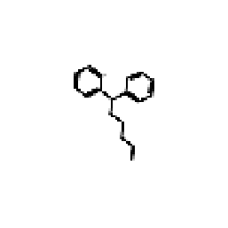 CCCCCC(c1[c]cccc1)c1ccccc1